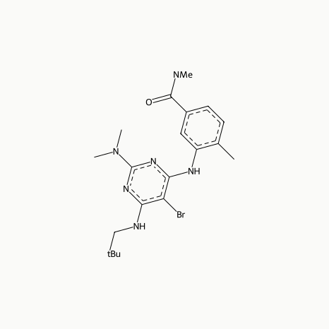 CNC(=O)c1ccc(C)c(Nc2nc(N(C)C)nc(NCC(C)(C)C)c2Br)c1